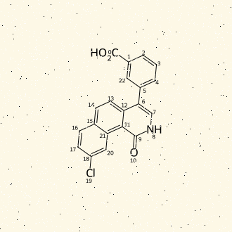 O=C(O)c1cccc(-c2c[nH]c(=O)c3c2ccc2ccc(Cl)cc23)c1